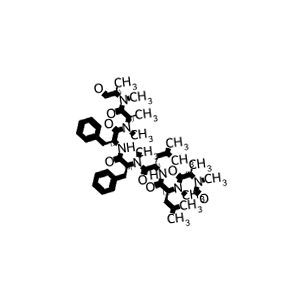 CC(C)C[C@H](NC(=O)[C@H](CC(C)C)N(C)C(=O)[C@H](C)N(C)C=O)C(=O)N(C)[C@@H](Cc1ccccc1)C(=O)N[C@@H](Cc1ccccc1)C(=O)N(C)[C@@H](C)C(=O)N(C)[C@@H](C)C=O